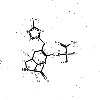 Nc1nnc(SC2=C(C(=O)O)N3C(=O)[C@H]4NC[C@@H](C2)[C@H]43)s1.O=C(O)C(F)(F)F